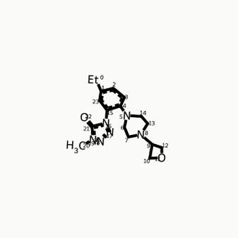 CCc1ccc(N2CCN(C3COC3)CC2)c(-n2nnn(C)c2=O)c1